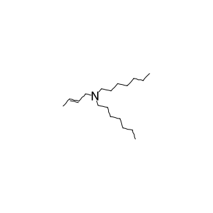 CC=CCN(CCCCCCC)CCCCCCC